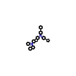 C1=CCC(c2ccc(N(c3ccc(-c4ccccc4)cc3)c3ccc4c(c3)Cc3cc(N(c5ccccc5)c5cccc6ccccc56)ccc3-4)cc2)C=1